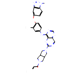 C=CC(=O)N1CC2CN(c3ncc4ncnc(Nc5ccc(Oc6ccc7c(c6)nnn7C)c(C)c5)c4n3)CC2C1